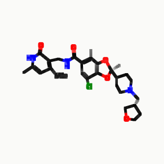 CSc1cc(C)[nH]c(=O)c1CNC(=O)c1cc(Cl)c2c(c1C)O[C@@](C)(C1CCN(C[C@@H]3CCOC3)CC1)O2